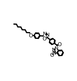 CCCCCCCCOc1ccc(-c2nnc(-c3ccc(C(=O)n4n[n+]([O-])c5ccccc54)cc3)o2)cc1